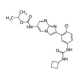 CC(C)OC(=O)Nc1cnc2nc(-c3cc(NC(=O)NC4CCC4)ccc3Cl)cn2c1